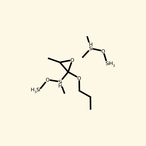 CCCOC1([SiH](C)O[SiH3])OC1C.C[SiH](C)O[SiH3]